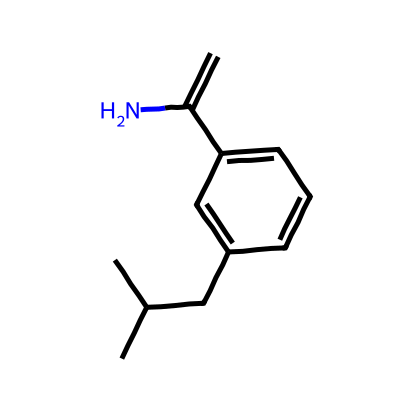 C=C(N)c1cccc(CC(C)C)c1